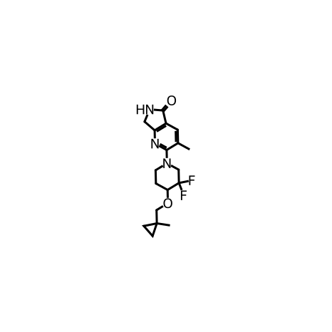 Cc1cc2c(nc1N1CCC(OCC3(C)CC3)C(F)(F)C1)CNC2=O